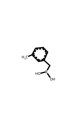 Cc1cccc(CB(O)O)c1